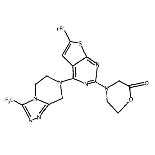 CCCc1cc2c(N3CCn4c(nnc4C(F)(F)F)C3)nc(N3CCOC(=O)C3)nc2s1